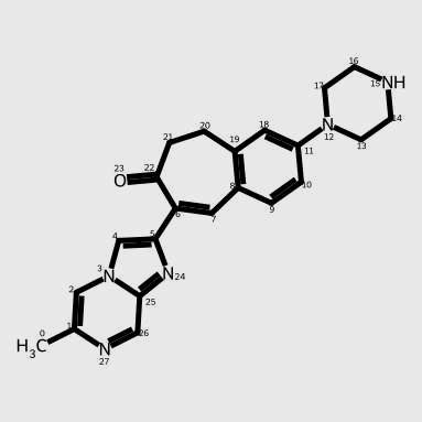 Cc1cn2cc(C3=Cc4ccc(N5CCNCC5)cc4CCC3=O)nc2cn1